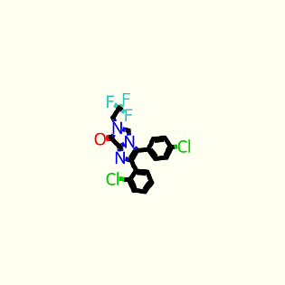 O=C1c2nc(-c3ccccc3Cl)c(-c3ccc(Cl)cc3)n2CN1CC(F)(F)F